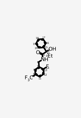 CC[C@](O)(C(=O)NCc1cc(C(F)(F)F)ccc1F)c1ccccc1